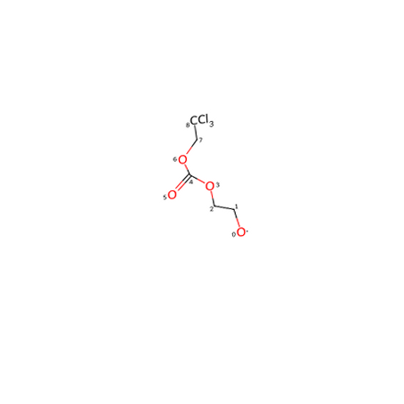 [O]CCOC(=O)OCC(Cl)(Cl)Cl